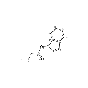 CCCC(=O)OC1C=Cc2ccccc21